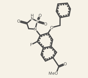 COC(=O)c1ccc2c(F)c(N3CC(=O)NS3(=O)=O)c(OCc3ccccc3)cc2c1